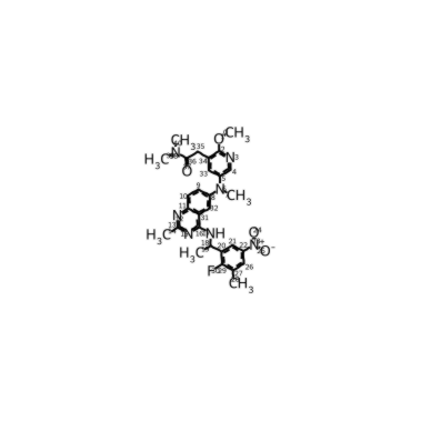 COc1ncc(N(C)c2ccc3nc(C)nc(NC(C)c4cc([N+](=O)[O-])cc(C)c4F)c3c2)cc1CC(=O)N(C)C